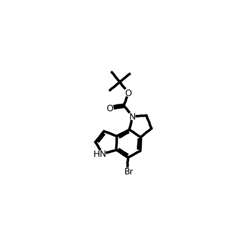 CC(C)(C)OC(=O)N1CCc2cc(Br)c3[nH]ccc3c21